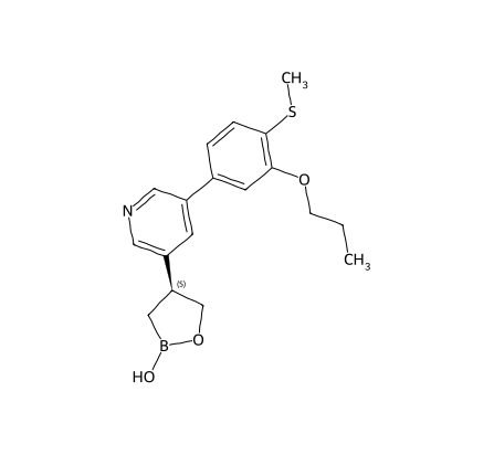 CCCOc1cc(-c2cncc([C@H]3COB(O)C3)c2)ccc1SC